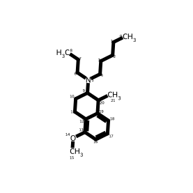 CCCCCN(CCC)C1CCc2c(OC)cccc2C1C